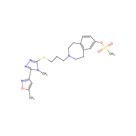 Cc1cc(-c2nnc(SCCCN3CCc4ccc(OS(C)(=O)=O)cc4CC3)n2C)no1